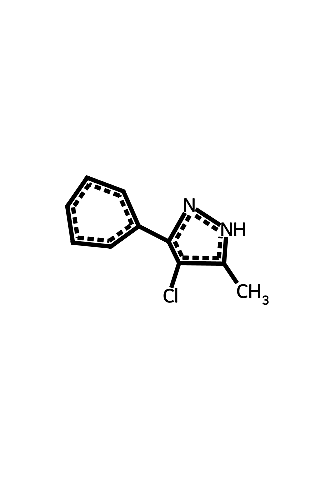 Cc1[nH]nc(-c2ccccc2)c1Cl